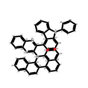 c1ccc(-n2c3ccccc3c3c(-c4nc5ccccc5nc4N4c5c(ccc6ccccc56)-c5cccc6cccc4c56)cccc32)cc1